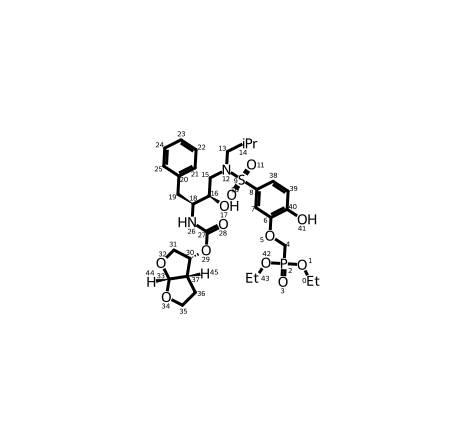 CCOP(=O)(COc1cc(S(=O)(=O)N(CC(C)C)C[C@@H](O)[C@H](Cc2ccccc2)NC(=O)O[C@H]2CO[C@H]3OCC[C@H]32)ccc1O)OCC